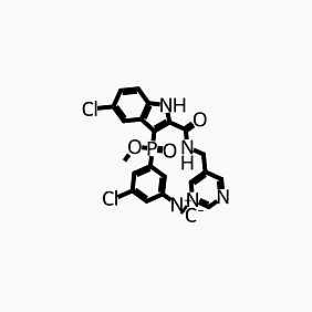 [C-]#[N+]c1cc(Cl)cc(P(=O)(OC)c2c(C(=O)NCc3cncnc3)[nH]c3ccc(Cl)cc23)c1